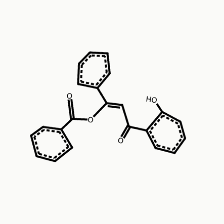 O=C(O/C(=C\C(=O)c1ccccc1O)c1ccccc1)c1ccccc1